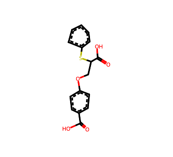 O=C(O)[C](COc1ccc(C(=O)O)cc1)Sc1ccccc1